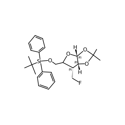 CC1(C)O[C@H]2OC(CO[Si](c3ccccc3)(c3ccccc3)C(C)(C)C)[C@@H](CF)[C@H]2O1